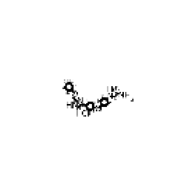 Cl.NC(=O)CNc1ccc(Oc2ccc(-c3c[nH]c(COc4ccccc4)n3)cc2)cc1